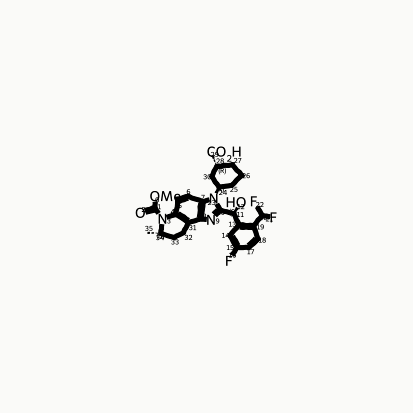 COC(=O)N1c2ccc3c(nc([C@@H](O)c4cc(F)ccc4C(F)F)n3[C@@H]3CCC[C@@H](C(=O)O)C3)c2CC[C@@H]1C